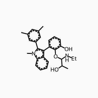 CCNC(Oc1c(O)cccc1-c1c(-c2cc(C)cc(C)c2)n(C)c2ccccc12)C(C)O